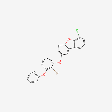 Clc1cccc2c1oc1ccc(Oc3cccc(Oc4ccccc4)c3Br)cc12